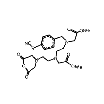 COC(=O)CN(CCN1CC(=O)OC(=O)C1)CCN(CC(=O)OC)Cc1ccc(SC#N)cc1